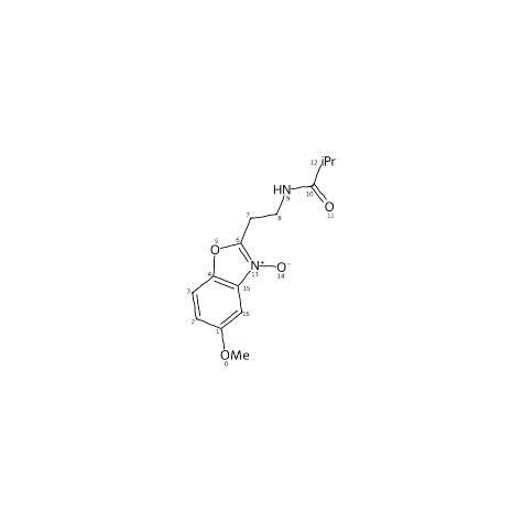 COc1ccc2oc(CCNC(=O)C(C)C)[n+]([O-])c2c1